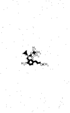 COCC=Cc1ccc(C)c(CN(C(=O)OC(C)(C)C)C2CC2)c1